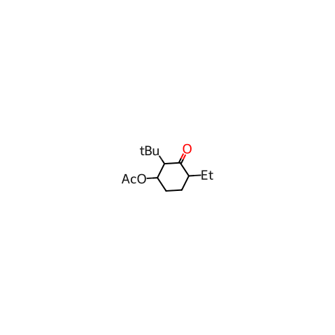 CCC1CCC(OC(C)=O)C(C(C)(C)C)C1=O